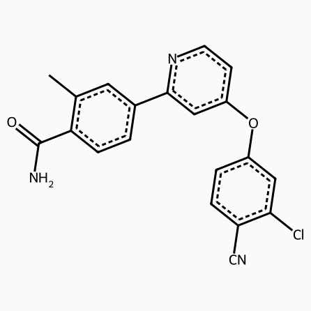 Cc1cc(-c2cc(Oc3ccc(C#N)c(Cl)c3)ccn2)ccc1C(N)=O